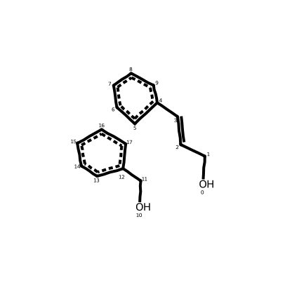 OC/C=C/c1ccccc1.OCc1ccccc1